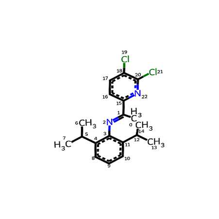 CC(=Nc1c(C(C)C)cccc1C(C)C)c1ccc(Cl)c(Cl)n1